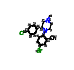 CN1CCN(c2ccc(Br)cc2C#N)[C@H](c2ccc(Cl)cc2)C1